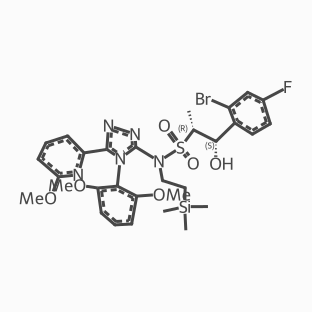 COc1cccc(-c2nnc(N(CC[Si](C)(C)C)S(=O)(=O)[C@H](C)[C@@H](O)c3ccc(F)cc3Br)n2-c2c(OC)cccc2OC)n1